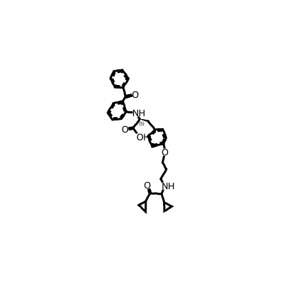 O=C(c1ccccc1)c1ccccc1N[C@@H](Cc1ccc(OCCCNC(C(=O)C2CC2)C2CC2)cc1)C(=O)O